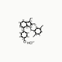 Cc1ccc(C)c(Cn2c(C)c(C)c3ccnc(-c4ccc(Cl)cc4)c32)c1.Cl